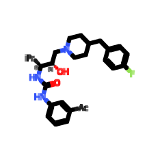 CC(=O)c1cccc(NC(=O)N[C@@H](C(C)C)[C@@H](O)CN2CCC(Cc3ccc(F)cc3)CC2)c1